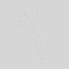 c1ccc(N2c3ccccc3-c3ccccc3-c3cc(-c4ccc(-c5ccc6c7ccccc7c7ccccc7c6c5)nc4)ccc32)cc1